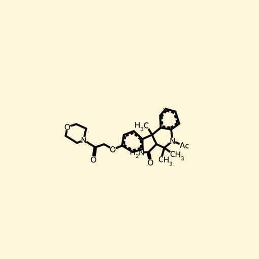 CC(=O)N1c2cc[c]cc2C(C)(c2ccc(OCC(=O)N3CCOCC3)cc2)C(C(N)=O)C1(C)C